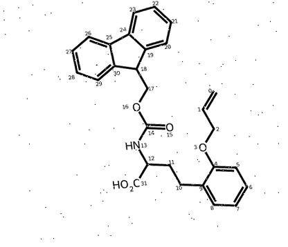 C=CCOc1ccccc1CCC(NC(=O)OCC1c2ccccc2-c2ccccc21)C(=O)O